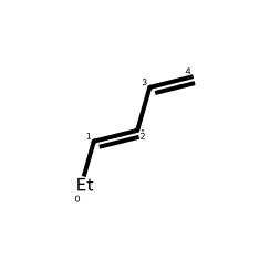 [CH2]C/C=[C]/C=C